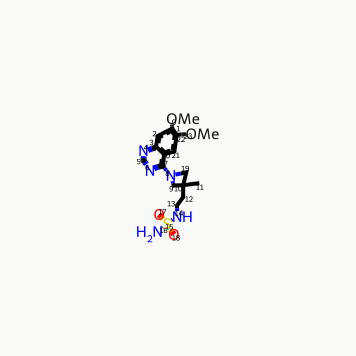 COc1cc2ncnc(N3CC(C)(CCNS(N)(=O)=O)C3)c2cc1OC